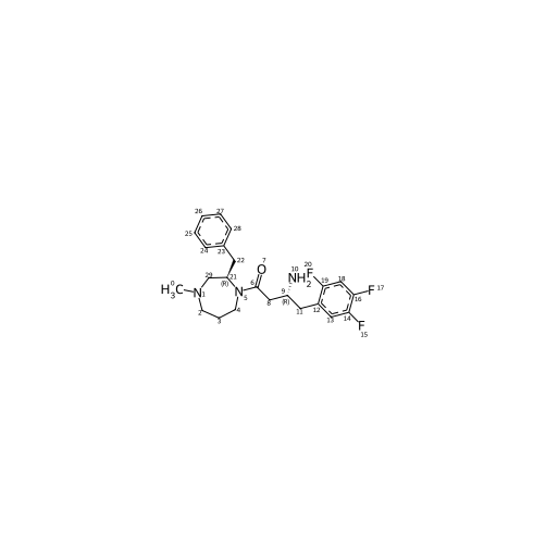 CN1CCCN(C(=O)C[C@H](N)Cc2cc(F)c(F)cc2F)[C@H](Cc2ccccc2)C1